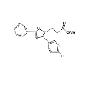 COC(=O)CCc1oc(-c2ccccc2)nc1-c1ccc(Cl)cc1